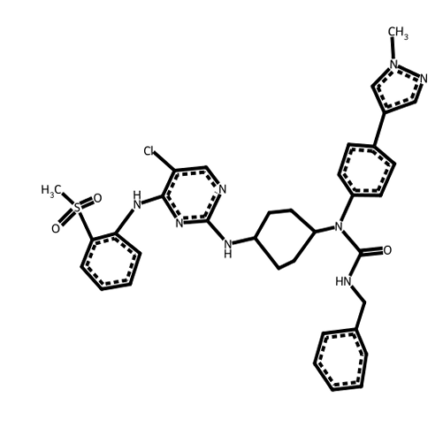 Cn1cc(-c2ccc(N(C(=O)NCc3ccccc3)C3CCC(Nc4ncc(Cl)c(Nc5ccccc5S(C)(=O)=O)n4)CC3)cc2)cn1